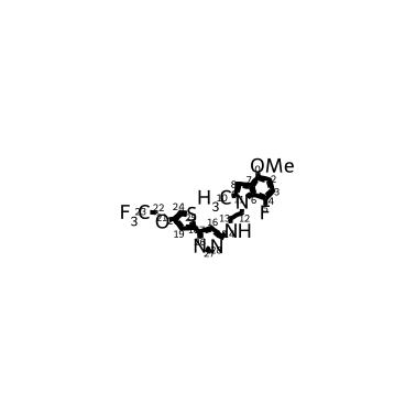 COc1ccc(F)c2c1cc(C)n2CCNc1cc(-c2cc(OCC(F)(F)F)cs2)ncn1